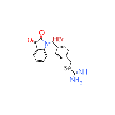 Br.N=C(N)[Se]Cc1ccc(CN2C(=O)C(=O)c3ccccc32)cc1